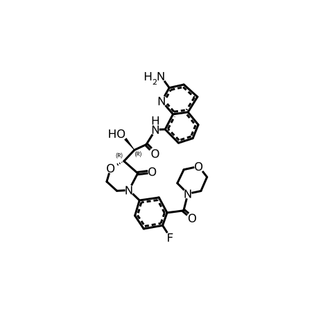 Nc1ccc2cccc(NC(=O)[C@H](O)[C@H]3OCCN(c4ccc(F)c(C(=O)N5CCOCC5)c4)C3=O)c2n1